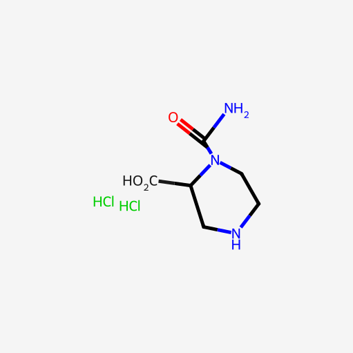 Cl.Cl.NC(=O)N1CCNCC1C(=O)O